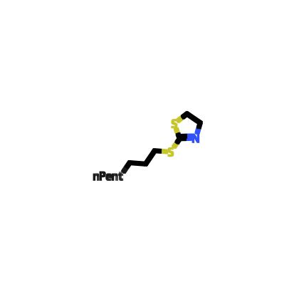 CCCCCCCCSC1=NCCS1